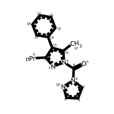 CCCc1nn(C(=O)n2cccn2)c(C)c1-c1ccccc1